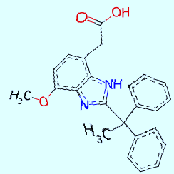 COc1ccc(CC(=O)O)c2[nH]c(C(C)(c3ccccc3)c3ccccc3)nc12